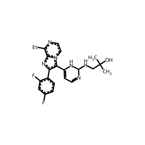 CCc1nccn2c(C3=CC=NC(NCC(C)(C)O)N3)c(-c3ccc(F)cc3F)nc12